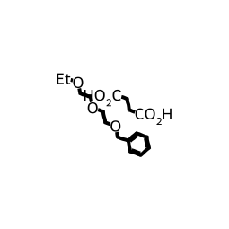 CCOCCOCCOCc1ccccc1.O=C(O)CCC(=O)O